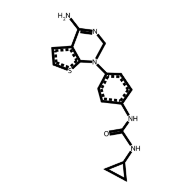 NC1=NCN(c2ccc(NC(=O)NC3CC3)cc2)c2sccc21